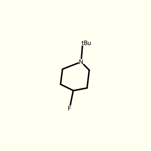 CC(C)(C)N1CCC(F)CC1